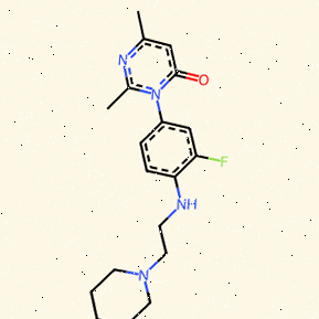 Cc1cc(=O)n(-c2ccc(NCCN3CCCCC3)c(F)c2)c(C)n1